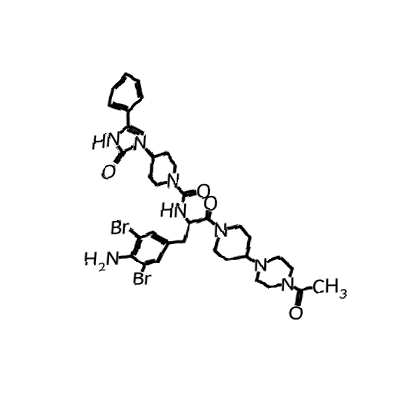 CC(=O)N1CCN(C2CCN(C(=O)[C@@H](Cc3cc(Br)c(N)c(Br)c3)NC(=O)N3CCC(n4cc(-c5ccccc5)[nH]c4=O)CC3)CC2)CC1